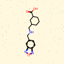 O=C(O)C1CCCC(CNCc2ccc3nonc3c2)C1